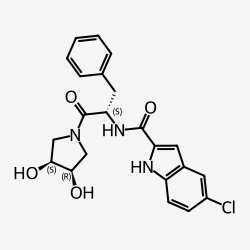 O=C(N[C@@H](Cc1ccccc1)C(=O)N1C[C@@H](O)[C@@H](O)C1)c1cc2cc(Cl)ccc2[nH]1